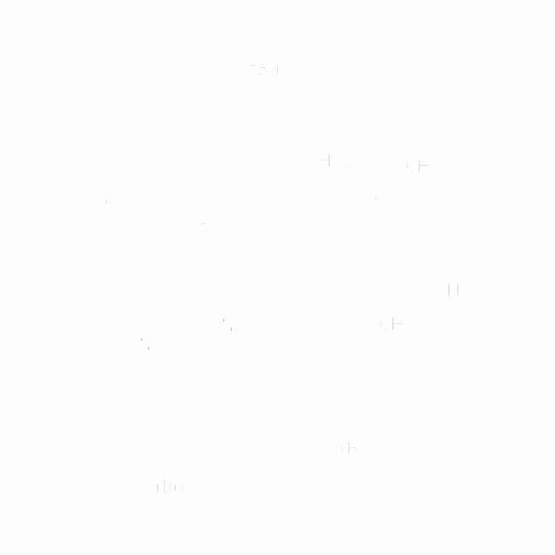 CC(C)(C)c1cc(N2c3cc4c(cc3B3c5cc(C(C)(C)C)ccc5Oc5ccnc2c53)C(C)(C)CC4(C)C)cc(C(C)(C)C)c1